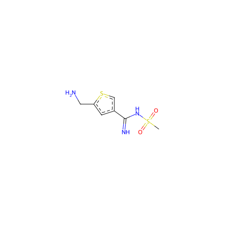 CS(=O)(=O)NC(=N)c1csc(CN)c1